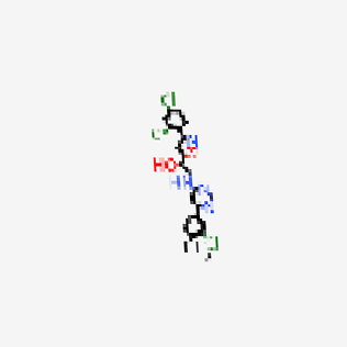 OC(CNc1cc(-c2ccc(C(F)(F)F)c(Cl)c2)ncn1)c1cc(-c2ccc(Cl)cc2Cl)no1